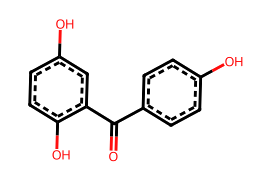 O=C(c1ccc(O)cc1)c1cc(O)ccc1O